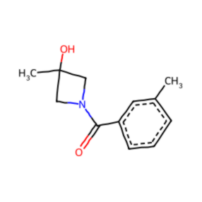 Cc1cccc(C(=O)N2CC(C)(O)C2)c1